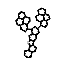 c1ccc2c(c1)ccc1c3cc4cc(-c5ccc6ccc7cccc8ccc5c6c78)cc(-c5ccc6ccc7cccc8ccc5c6c78)c4cc3oc21